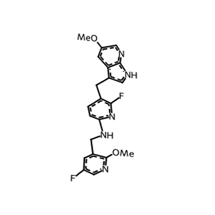 COc1cnc2[nH]cc(Cc3ccc(NCc4cc(F)cnc4OC)nc3F)c2c1